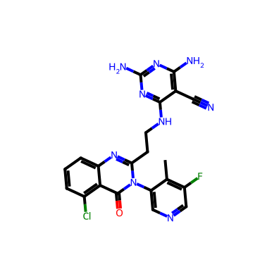 Cc1c(F)cncc1-n1c(CCNc2nc(N)nc(N)c2C#N)nc2cccc(Cl)c2c1=O